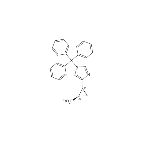 CCOC(=O)[C@@H]1C[C@H]1c1cn(C(c2ccccc2)(c2ccccc2)c2ccccc2)cn1